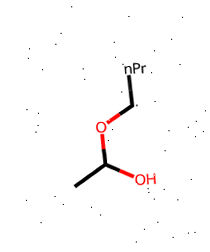 CCC[CH]OC(C)O